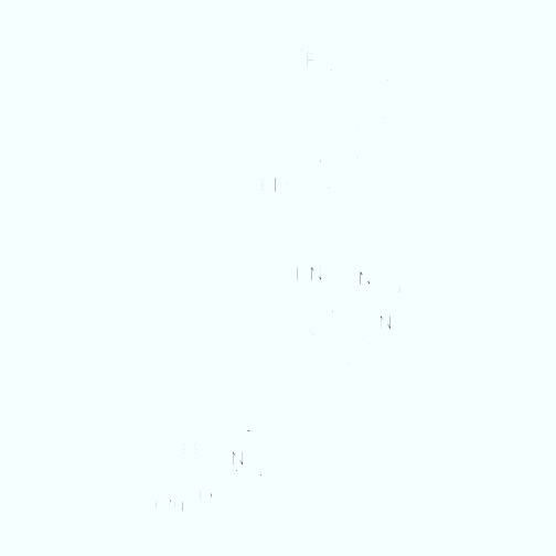 CC(C)(C)OC(=O)N1CCC(C#Cc2cc3ncnc(Nc4ccc(OCc5cccc(F)c5)c(Cl)c4)c3s2)C1